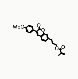 C=C(C)C(=O)OCCCc1ccc2cc(-c3ccc(OC)cc3)c(=O)oc2c1